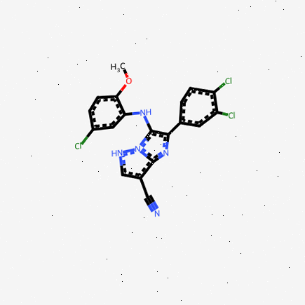 COc1ccc(Cl)cc1Nc1c(-c2ccc(Cl)c(Cl)c2)nc2c(C#N)c[nH]n12